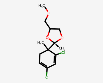 COCC1CO[C@](C)(C2(C)CC=C(Cl)C=C2Cl)O1